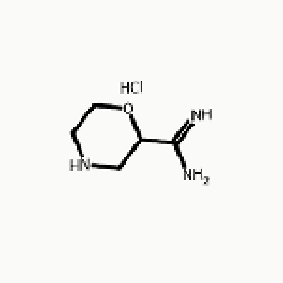 Cl.N=C(N)C1CNCCO1